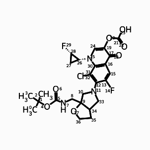 CC(C)(C)OC(=O)NCC12CN(c3c(F)cc4c(=O)c(OC(=O)O)cn([C@@H]5C[C@@H]5F)c4c3Cl)CC1CCO2